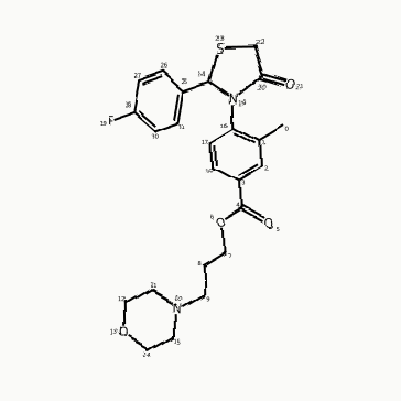 Cc1cc(C(=O)OCCCN2CCOCC2)ccc1N1C(=O)CSC1c1ccc(F)cc1